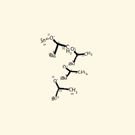 CCC(C)C(C)[O-].CCC(C)C(C)[O-].CCC(C)C(C)[O-].CCC(C)C(C)[O-].[Sn+4]